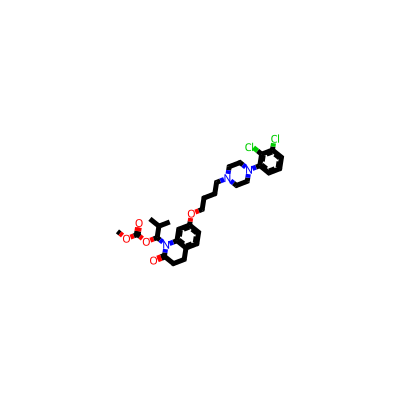 COC(=O)OC(C(C)C)N1C(=O)CCc2ccc(OCCCCN3CCN(c4cccc(Cl)c4Cl)CC3)cc21